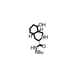 CCCCNC(=O)[C@@H]1C[C@@H]2CCCC(O)[C@@H]2CN1